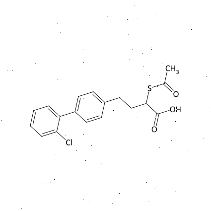 CC(=O)SC(CCc1ccc(-c2ccccc2Cl)cc1)C(=O)O